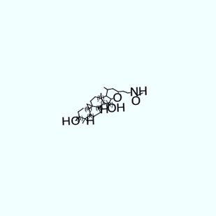 CC(=O)NCCC1CC(C)C2C(O1)[C@H](O)[C@@]1(C)[C@@H]3CC[C@H]4C(C)(C)[C@@H](O)CC[C@@]45CC35CC[C@]21C